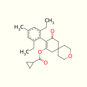 CCc1cc(C)cc(CC)c1C1=C(OC(=O)C2CC2)CC2(CCOCC2)CC1=O